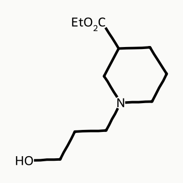 CCOC(=O)C1CCCN(CCCO)C1